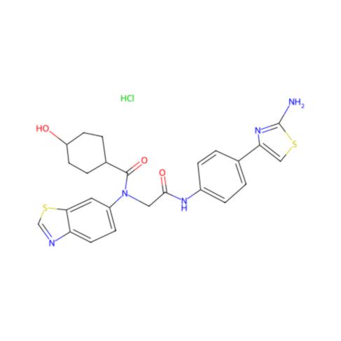 Cl.Nc1nc(-c2ccc(NC(=O)CN(C(=O)C3CCC(O)CC3)c3ccc4ncsc4c3)cc2)cs1